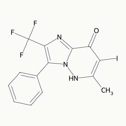 Cc1[nH]n2c(-c3ccccc3)c(C(F)(F)F)nc2c(=O)c1I